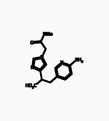 CNC(=O)Cn1cnc(C(Cc2ccc(N)nc2)C(=O)O)c1